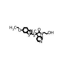 CCOc1ccc2nc(SC(C)(C(=O)NCCO)c3ccncc3)sc2c1